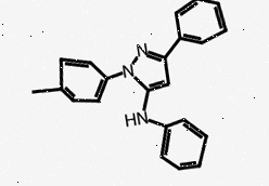 Cc1ccc(-n2nc(-c3ccccc3)cc2Nc2ccccc2)cc1